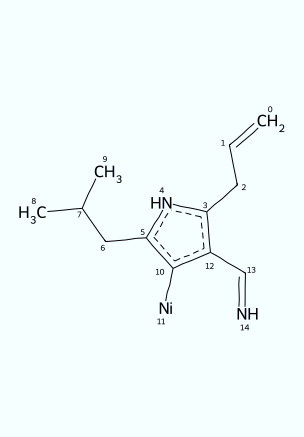 C=CCc1[nH]c(CC(C)C)[c]([Ni])c1C=N